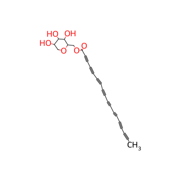 CC#CC#CC#CC#CC#CC#CC#CC#CC(=O)OCC1OCC(O)C(O)C1O